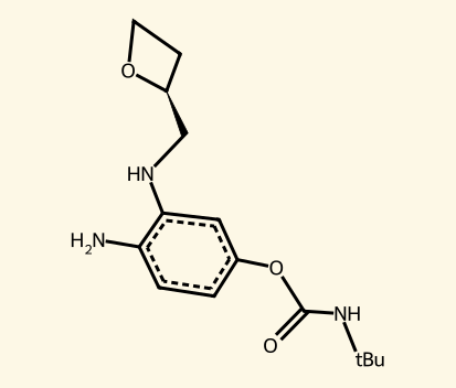 CC(C)(C)NC(=O)Oc1ccc(N)c(NC[C@@H]2CCO2)c1